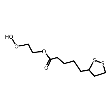 O=C(CCCCC1CCSS1)OCCOO